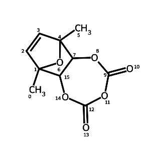 CC12C=CC(C)(O1)C1OC(=O)OC(=O)OC12